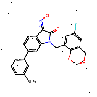 CC(=O)Nc1cccc(-c2ccc3c(c2)N(Cc2cc(F)cc4c2OCOC4)C(=O)/C3=N\O)c1